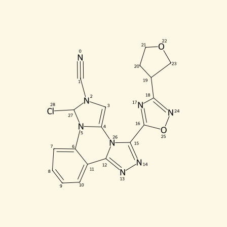 N#CN1C=C2N(c3ccccc3-c3nnc(-c4nc(C5CCOC5)no4)n32)C1Cl